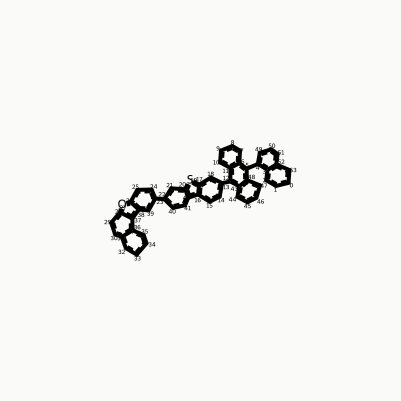 c1ccc2c(-c3c4ccccc4c(-c4ccc5c(c4)sc4cc(-c6ccc7oc8ccc9ccccc9c8c7c6)ccc45)c4ccccc34)cccc2c1